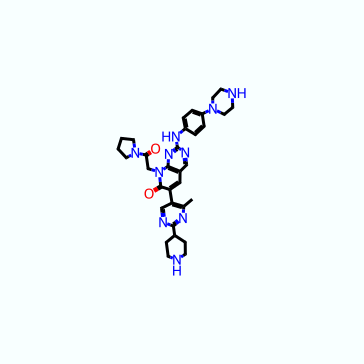 Cc1nc(C2CCNCC2)ncc1-c1cc2cnc(Nc3ccc(N4CCNCC4)cc3)nc2n(CC(=O)N2CCCC2)c1=O